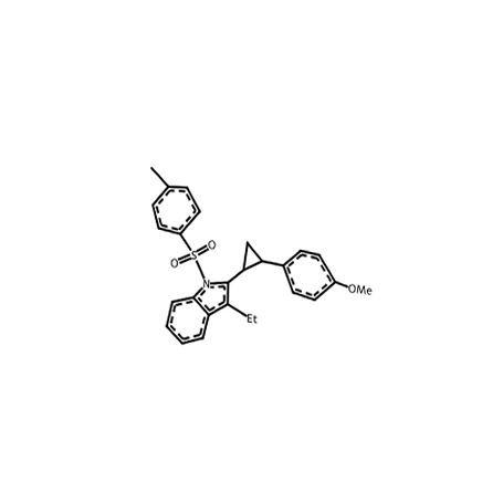 CCc1c(C2CC2c2ccc(OC)cc2)n(S(=O)(=O)c2ccc(C)cc2)c2ccccc12